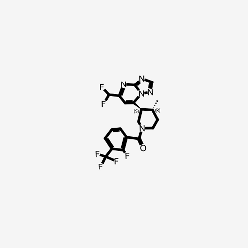 C[C@@H]1CCN(C(=O)c2cccc(C(F)(F)F)c2F)C[C@H]1c1cc(C(F)F)nc2ncnn12